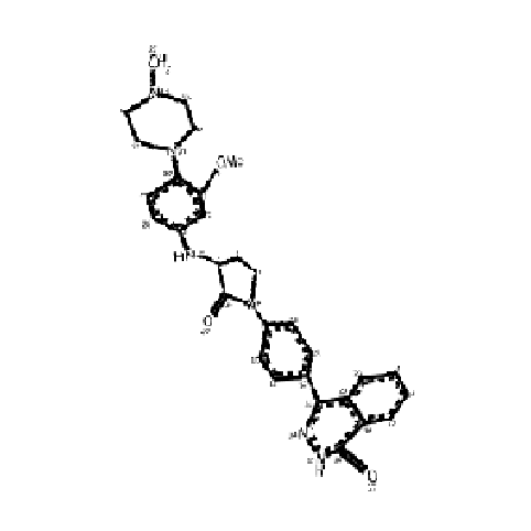 COc1cc(NC2CCN(c3ccc(-c4n[nH]c(=O)c5ccccc45)cc3)C2=O)ccc1N1CCN(C)CC1